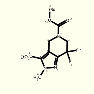 CCOC(=O)c1c2c(nn1C)C(F)(F)CN(C(=O)OC(C)(C)C)C2